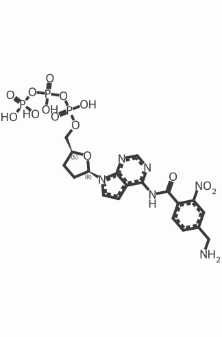 NCc1ccc(C(=O)Nc2ncnc3c2ccn3[C@H]2CC[C@@H](COP(=O)(O)OP(=O)(O)OP(=O)(O)O)O2)c([N+](=O)[O-])c1